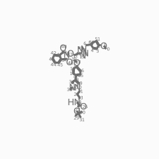 COc1ccc(Cn2nnc([C@H](COc3ccc(-c4cn(CCCNC(=O)OC(C)(C)C)[n+](C)c4)cc3)ON3C(=O)c4ccccc4C3=O)n2)cc1